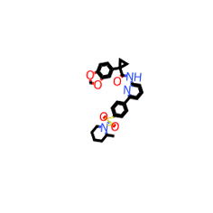 CC1CCCCN1S(=O)(=O)c1ccc(-c2cccc(NC(=O)C3(c4ccc5c(c4)OCO5)CC3)n2)cc1